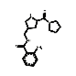 Nc1ccccc1C(=O)NCC1CNC(C(=O)N2CCCC2)C1